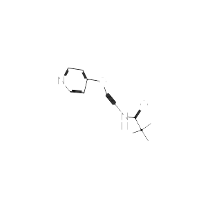 CC(C)(C)C(=O)NC#COc1ccncc1